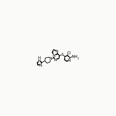 Nc1nccc(Sc2cnc(N3CCC(c4ncc[nH]4)CC3)n3ccnc23)c1Cl